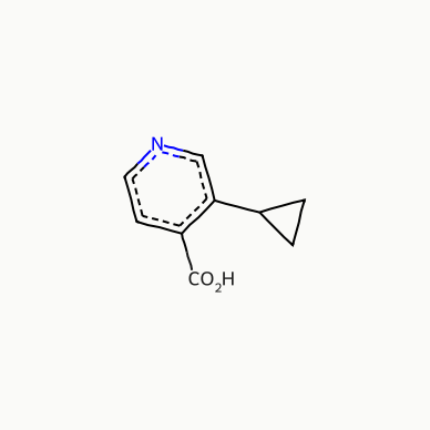 O=C(O)c1ccncc1C1CC1